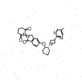 Cc1cnc(C2CN([C@@H]3CCCC[C@H]3Oc3ccc4c(c3)CN(N3C(=O)CCCC3=O)C4=O)C2)nc1